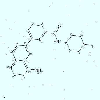 CN1CCC(NC(=O)c2cccc(-c3ccc4nccc(N)c4c3)n2)CC1